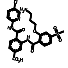 CS(=O)(=O)c1ccc(C(=O)Nc2cc(C(=O)O)ccc2C(=O)Nc2ccc(Cl)cn2)c(OCCCN)c1